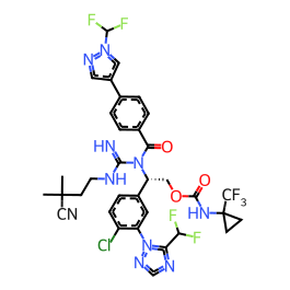 CC(C)(C#N)CCNC(=N)N(C(=O)c1ccc(-c2cnn(C(F)F)c2)cc1)[C@H](COC(=O)NC1(C(F)(F)F)CC1)c1ccc(Cl)c(-n2ncnc2C(F)F)c1